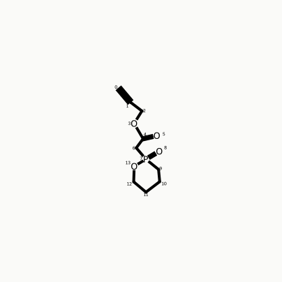 C#CCOC(=O)CP1(=O)CCCCO1